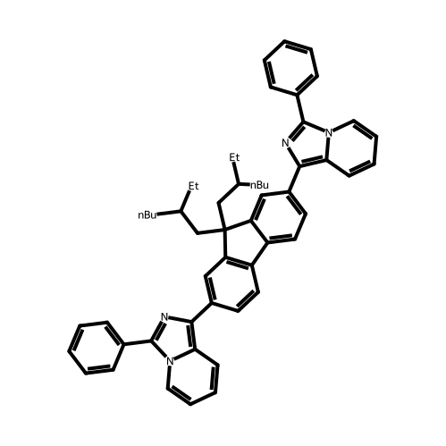 CCCCC(CC)CC1(CC(CC)CCCC)c2cc(-c3nc(-c4ccccc4)n4ccccc34)ccc2-c2ccc(-c3nc(-c4ccccc4)n4ccccc34)cc21